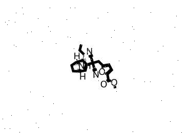 CCC[C@@H]1C(C(C#N)(C#N)Cc2ccc(C(=O)OC)o2)=C[C@H]2CC[C@@H]1N2